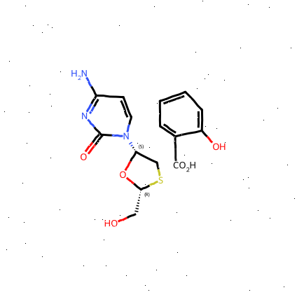 Nc1ccn([C@@H]2CS[C@H](CO)O2)c(=O)n1.O=C(O)c1ccccc1O